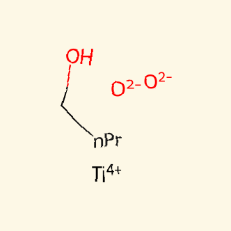 CCCCO.[O-2].[O-2].[Ti+4]